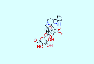 COC(=O)C1=CO[C@@H](O[C@@H]2O[C@H](CO)[C@H](O)[C@@H](O)[C@H]2O)[C@H]2[C@@H]1C[C@@]13O[C@@H]2CN1CCc1c3[nH]c2ccccc12